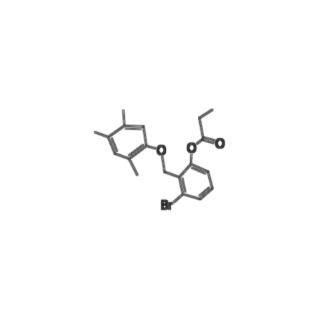 CCC(=O)Oc1cccc(Br)c1COc1cc(C)c(C)cc1C